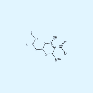 CCSC(C)CC1CC(O)=C(C(=O)CC)C(C=O)C1